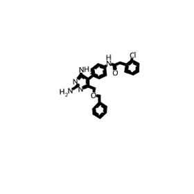 Nc1nc(N)c(-c2ccc(NC(=O)Cc3ccccc3Cl)cc2)c(COCc2ccccc2)n1